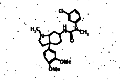 COc1ccc(C23CCC(NC(=O)N(C)c4cccc(Cl)c4)CC2N(C)CC3)cc1OC